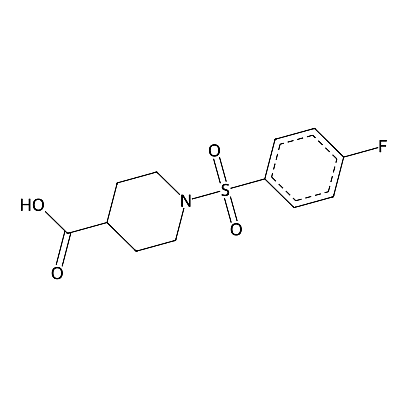 O=C(O)C1CCN(S(=O)(=O)c2ccc(F)cc2)CC1